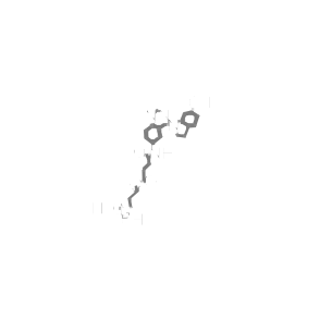 Cc1ccc2c(c1)N(c1ncnc3ccc(NC(=O)C=CC(=O)OCCCN(C)C)cc13)CC2